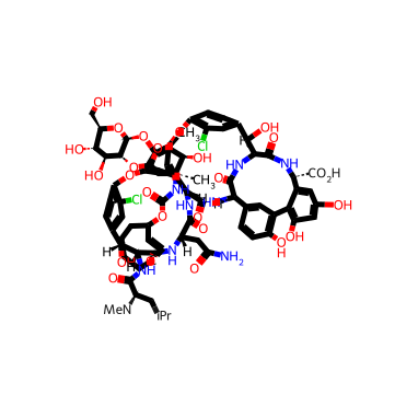 CN[C@H](CC(C)C)C(=O)N[C@H]1C(=O)N[C@@H](CC(N)=O)C(=O)N[C@H]2C(=O)N[C@H]3C(=O)N[C@H](C(=O)N[C@H](C(=O)O)c4cc(O)cc(O)c4-c4cc3ccc4O)C(O)c3ccc(c(Cl)c3)Oc3cc2cc(c3O[C@@H]2O[C@H](CO)[C@@H](O)[C@H](O)[C@H]2OC2C[C@](C)(NC(=O)OC3/C=C/CCCCC3)[C@H](O)[C@H](C)O2)Oc2ccc(cc2Cl)[C@H]1O